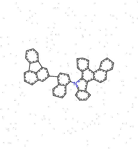 c1ccc2c(c1)-c1cccc3cc(-c4ccc(-n5c6ccccc6c6c7ccc8ccccc8c7c7ccccc7c65)c5ccccc45)cc-2c13